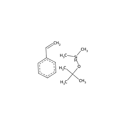 C=Cc1ccccc1.C[SiH](C)OC(C)(C)C